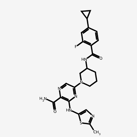 Cc1ncc(Nc2nc(N3CCCC(NC(=O)c4ccc(C5CC5)cc4F)C3)cnc2C(N)=O)s1